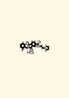 Cl.O=C(NCCN1CCCC1)c1ccc2c(c1)C(=O)N(Cc1ccccc1F)C2=O